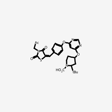 CC(=O)CN1C(=O)SC(=Cc2ccc(Oc3cc(OC4CCN(C(=O)O)C(C(C)(C)C)C4)ncn3)cc2)C1=O